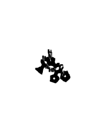 C=C(NC(C(=O)N1CCCC1)C1CCCC1)c1c[nH]c2ncc(C3CC3)nc12